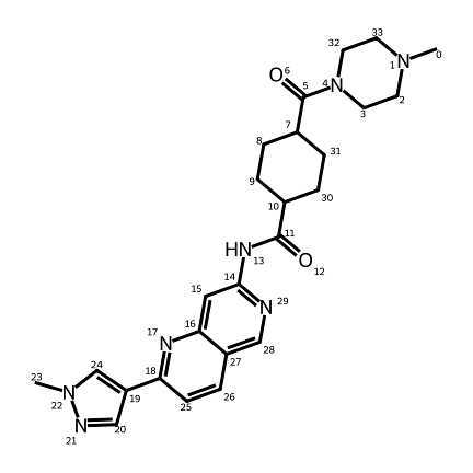 CN1CCN(C(=O)C2CCC(C(=O)Nc3cc4nc(-c5cnn(C)c5)ccc4cn3)CC2)CC1